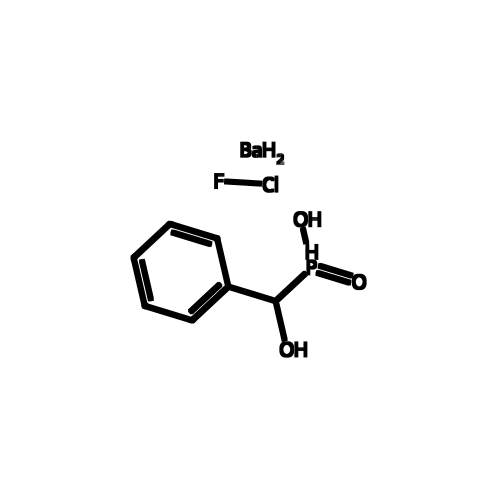 FCl.O=[PH](O)C(O)c1ccccc1.[BaH2]